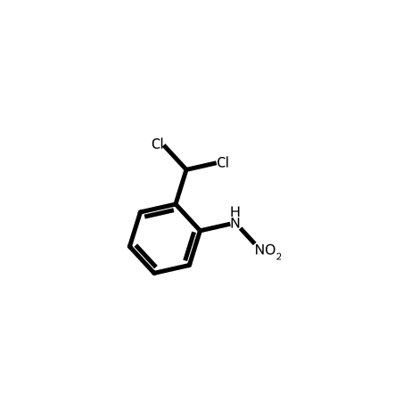 O=[N+]([O-])Nc1ccccc1C(Cl)Cl